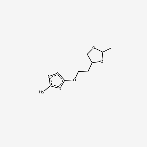 CC1OCC(CCOc2nc(S)ns2)O1